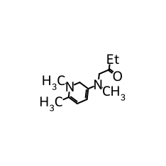 CCC(=O)CN(C)C1=CC=C(C)N(C)C1